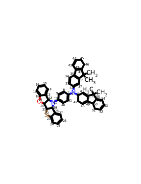 CC1(C)C2=CC(N(c3ccc(N4C5c6ccccc6OC5C5Sc6ccccc6C54)cc3)c3ccc4c(c3)C(C)(C)C3=C4C=CCC3)CC=C2C2CC=CC=C21